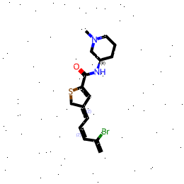 C=C(Br)/C=C\C=C1\C=C(C(=O)N[C@@H]2CCCN(C)C2)SC1